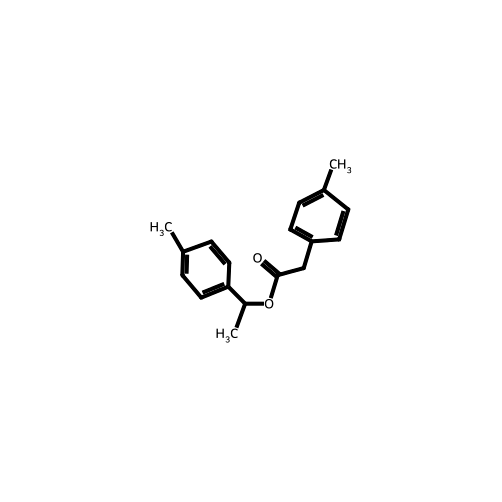 Cc1ccc(CC(=O)OC(C)c2ccc(C)cc2)cc1